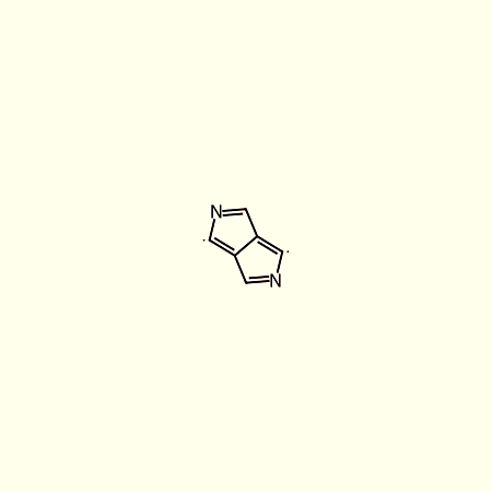 [C]1=C2C=N[C]=C2C=N1